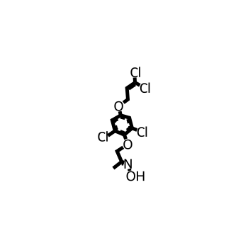 CC(COc1c(Cl)cc(OCC=C(Cl)Cl)cc1Cl)=NO